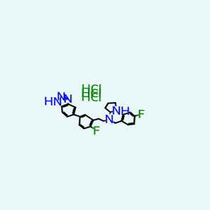 Cl.Cl.Cl.Fc1ccc(CN(CCc2cc(-c3ccc4[nH]nnc4c3)ccc2F)[C@@H]2CCCN2)cc1